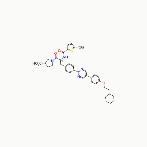 CC(C)(C)c1ccc(C(=O)N[C@@H](Cc2ccc(-c3ncc(-c4ccc(OCCC5CCCCC5)cc4)cn3)cc2)C(=O)N2CCC(C(=O)O)C2)s1